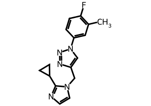 Cc1cc(-n2cc(Cn3ccnc3C3CC3)nn2)ccc1F